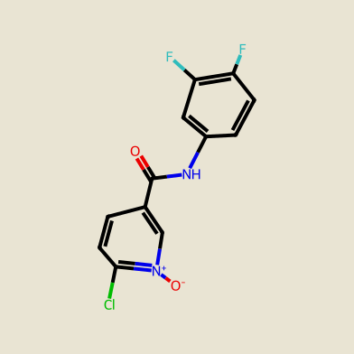 O=C(Nc1ccc(F)c(F)c1)c1ccc(Cl)[n+]([O-])c1